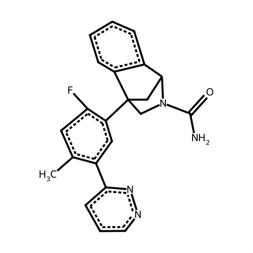 Cc1cc(F)c(C23CC(c4ccccc42)N(C(N)=O)C3)cc1-c1cccnn1